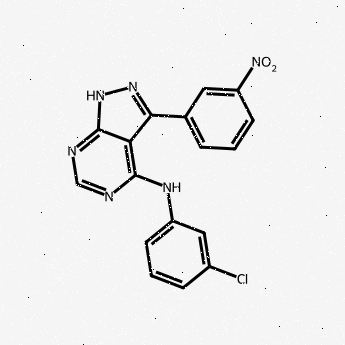 O=[N+]([O-])c1cccc(-c2n[nH]c3ncnc(Nc4cccc(Cl)c4)c23)c1